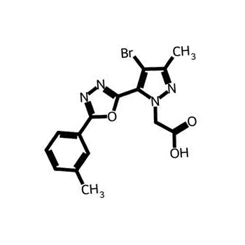 Cc1cccc(-c2nnc(-c3c(Br)c(C)nn3CC(=O)O)o2)c1